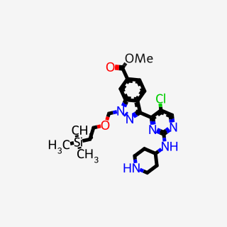 COC(=O)c1ccc2c(-c3nc(NC4CCNCC4)ncc3Cl)nn(COCC[Si](C)(C)C)c2c1